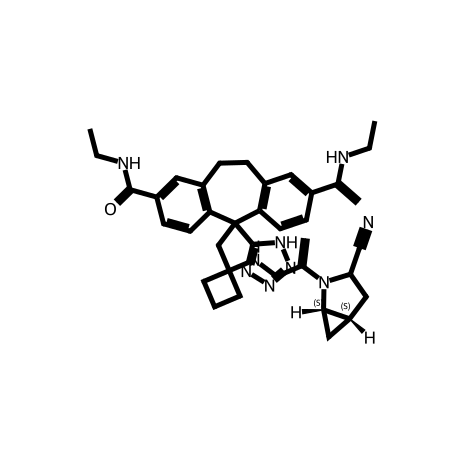 C=C(NCC)c1ccc2c(c1)CCc1cc(C(=O)NCC)ccc1C2(CC1(NCC(=C)N2C(C#N)C[C@@H]3C[C@@H]32)CCC1)c1nnn[nH]1